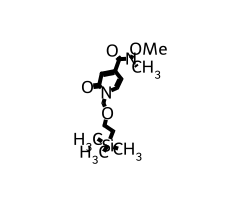 CON(C)C(=O)c1ccn(COCC[Si](C)(C)C)c(=O)c1